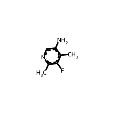 Cc1ncc(N)c(C)c1F